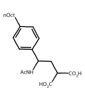 CCCCCCCCc1ccc(C(CC(C(=O)O)C(=O)O)NC(C)=O)cc1